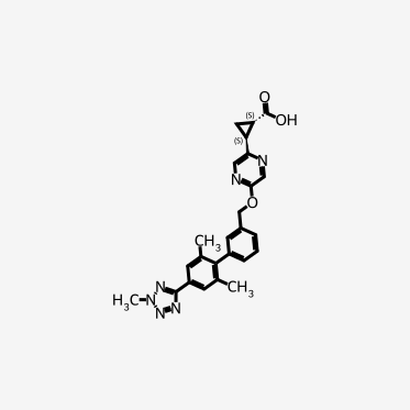 Cc1cc(-c2nnn(C)n2)cc(C)c1-c1cccc(COc2cnc([C@H]3C[C@@H]3C(=O)O)cn2)c1